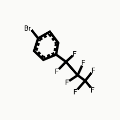 FC(F)(F)C(F)(F)C(F)(F)c1ccc(Br)cc1